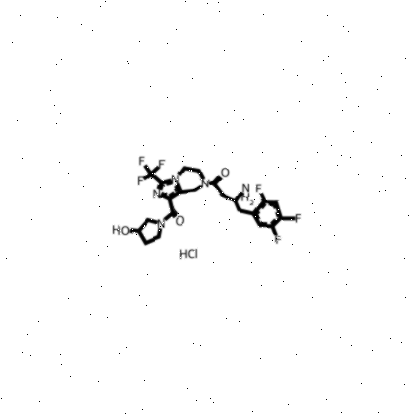 Cl.NC(CC(=O)N1CCn2c(C(F)(F)F)nc(C(=O)N3CCC(O)C3)c2C1)Cc1cc(F)c(F)cc1F